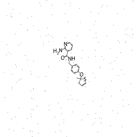 CC1(Oc2ccc(CNC(=O)c3cccnc3N)cc2)CC=CS1